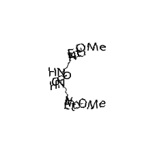 CCN(CCCCCCNC1=CC(=O)C(NCCCCCCN(CC)Cc2cccc(OC)c2)=CC1=O)Cc1cccc(OC)c1